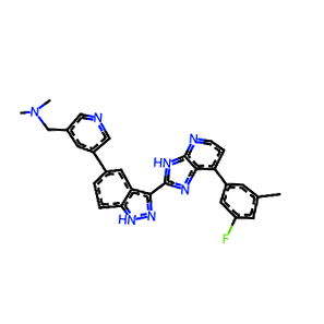 Cc1cc(F)cc(-c2ccnc3[nH]c(-c4n[nH]c5ccc(-c6cncc(CN(C)C)c6)cc45)nc23)c1